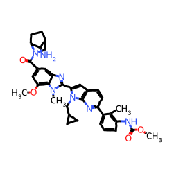 COC(=O)Nc1cccc(-c2ccc3cc(-c4nc5cc(C(=O)N6CC7CCC6C7N)cc(OC)c5n4C)n(CC4CC4)c3n2)c1C